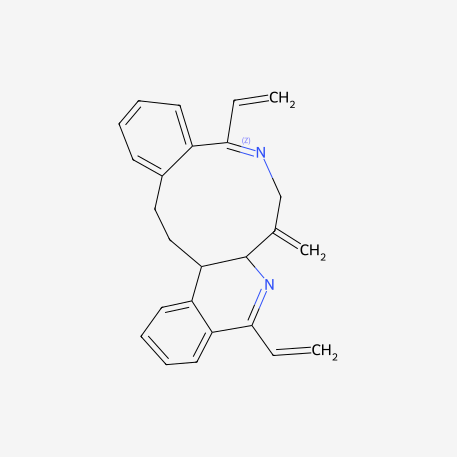 C=CC1=NC2C(=C)C/N=C(/C=C)c3ccccc3CCC2c2ccccc21